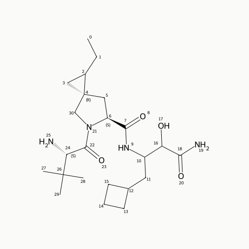 CCC1C[C@@]12C[C@@H](C(=O)NC(CC1CCC1)C(O)C(N)=O)N(C(=O)[C@@H](N)C(C)(C)C)C2